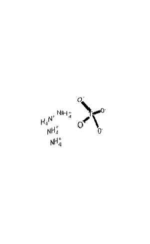 [NH4+].[NH4+].[NH4+].[NH4+].[O-][Ti]([O-])([O-])[O-]